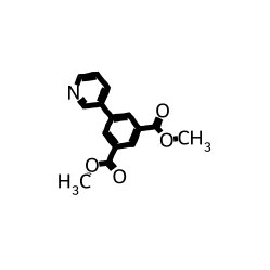 COC(=O)c1cc(C(=O)OC)cc(-c2cccnc2)c1